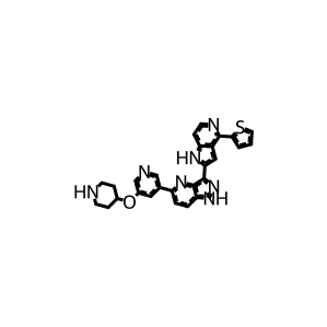 c1csc(-c2nccc3[nH]c(-c4n[nH]c5ccc(-c6cncc(OC7CCNCC7)c6)nc45)cc23)c1